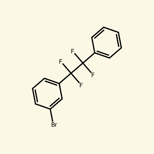 FC(F)(c1ccccc1)C(F)(F)c1cccc(Br)c1